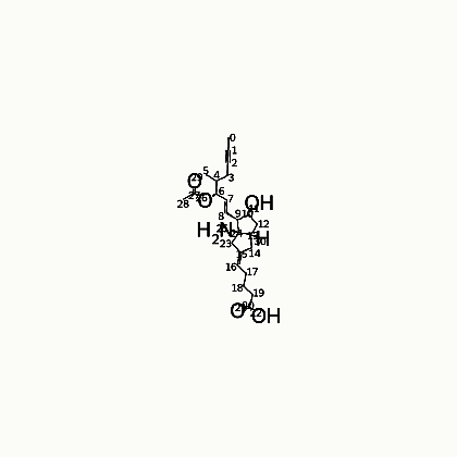 CC#CCC(C)[C@@H](/C=C/[C@H]1[C@H](O)C[C@@H]2C/C(=C\CCCC(=O)O)C[C@@]21N)OC(C)=O